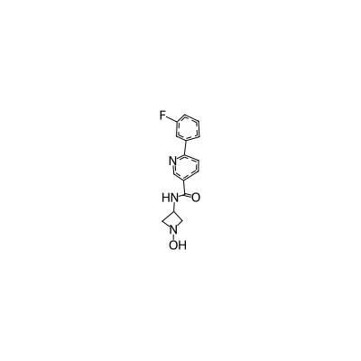 O=C(NC1CN(O)C1)c1ccc(-c2cccc(F)c2)nc1